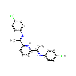 C/C(=N\c1ccc(Cl)cc1)c1cccc(/C(C)=N/c2ccc(Cl)cc2)n1